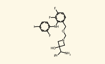 CC(C)C(N)C1(O)CN(COCc2ccc(F)c(F)c2Nc2ccc(I)cc2F)C1